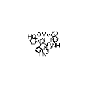 COC[C@]1(O)CCCC[C@H]1n1cnc(C(=O)N2CCNC[C@H]2CCNc2ccc3c(n2)CCO3)c1-c1ccccc1